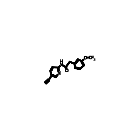 C#Cc1ccc(NC(=O)Cc2cccc(OC(F)(F)F)c2)nc1